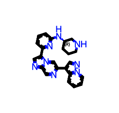 c1cc(N[C@@H]2CCCNC2)nc(-c2cnc3cnc(-c4cnn5ccccc45)cn23)c1